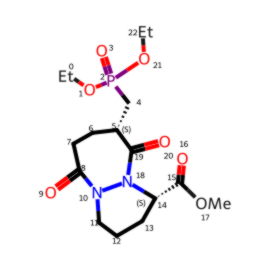 CCOP(=O)(C[C@H]1CCC(=O)N2CCC[C@@H](C(=O)OC)N2C1=O)OCC